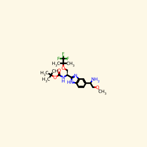 COCC(N)c1ccc2[nH]c([C@H](COC(C)(C)C(F)(F)F)NC(=O)OC(C)(C)C)nc2c1